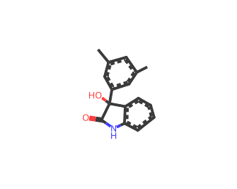 Cc1cc(C)cc(C2(O)C(=O)Nc3ccccc32)c1